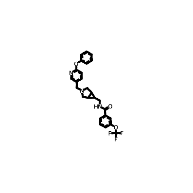 O=C(NCC1C2CN(Cc3ccc(Oc4ccccc4)nc3)CC12)c1cccc(OC(F)(F)F)c1